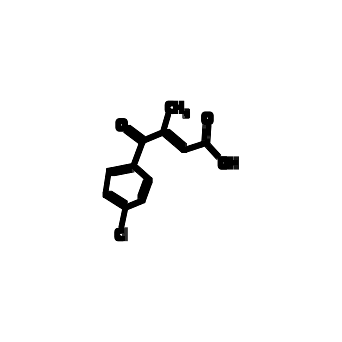 CC(=CC(=O)O)C(=O)c1ccc(Cl)cc1